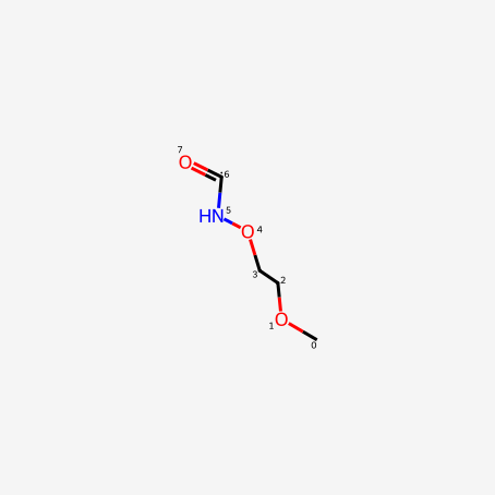 COCCON[C]=O